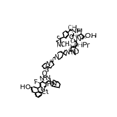 CCc1cccc2cc(O)cc(-c3ncc4c(N5CC6CCC(C5)N6)nc(OC[C@@]56CCCN5[C@H](CN5CCC7(CC5)CN(c5cc([C@H](C(=O)N8C[C@H](O)C[C@H]8C(=O)N[C@@H](C)c8ccc(-c9scnc9C)cc8)C(C)C)on5)C7)CC6)nc4c3F)c12